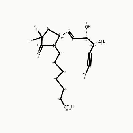 CCC#C[C@@H](C)[C@@H](O)C=C[C@H]1CC(F)(F)C(=O)N1CCCCCCC(=O)O